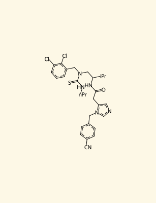 CCCNC(=S)N(Cc1cccc(Cl)c1Cl)CC(NC(=O)Cc1cncn1Cc1ccc(C#N)cc1)C(C)C